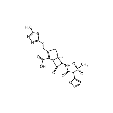 Cc1nnc(SCC2=C(C(=O)O)N3C(=O)C(NC(=O)C(c4ccco4)S(C)(=O)=O)[C@@H]3SC2)s1